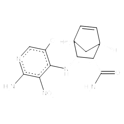 NC(=O)[C@@H]1[C@H](Nc2c(Cl)cnc(N)c2[N+](=O)[O-])[C@H]2C=C[C@@H]1C2